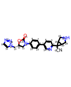 N#CC1(c2ccc(-c3ccc(N4C[C@H](Cn5ccnn5)OC4=O)cc3)cn2)C2CNCC21